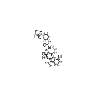 O=C(Cc1cccc(OC(F)(F)F)c1)N1CCCc2nc(C3(c4cccc(Cl)c4)CC3)[nH]c(=O)c2C1